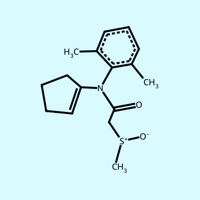 Cc1cccc(C)c1N(C(=O)C[S+](C)[O-])C1=CCCC1